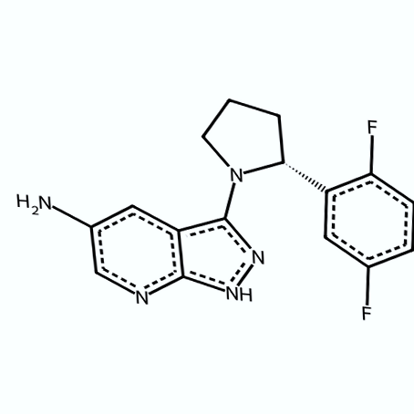 Nc1cnc2[nH]nc(N3CCC[C@@H]3c3cc(F)ccc3F)c2c1